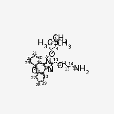 C[Si](C)(C)CCOCn1c(COCCCN)nc2c1-c1ccccc1Oc1ccccc1-2